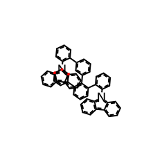 c1ccc(-c2cccc(-c3ccccc3-n3c4ccccc4c4ccccc43)c2-c2cccc(-c3ccccc3-n3c4ccccc4c4ccccc43)c2)cc1